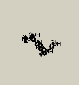 C=C(C)[C@@H]1CC[C@]2(NCCN3CCS(O)(O)CC3)CC[C@]3(C)[C@H](CC[C@@H]4[C@@]5(C)CC=C(C6=CCC(COc7cnnn7C(C)C)(C(=O)O)CC6)C(C)(C)[C@@H]5CC[C@]43C)[C@@H]12